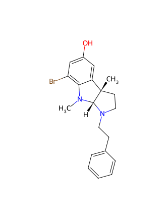 CN1c2c(Br)cc(O)cc2[C@]2(C)CCN(CCc3ccccc3)[C@H]12